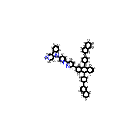 c1ccc2cc(-c3ccc(-c4c5ccccc5c(-c5ccc(-c6ccc7ccccc7c6)cc5)c5cc(-c6ccc(-c7ccc(-n8c9ccccc9c9cnccc98)cn7)nc6)ccc45)cc3)ccc2c1